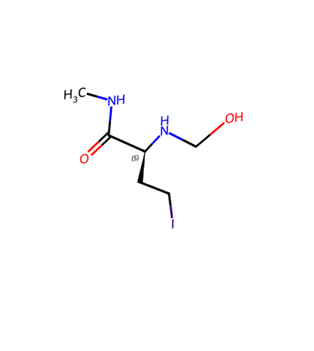 CNC(=O)[C@H](CCI)NCO